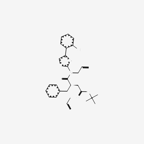 C=CC[C@H](c1ccccc1)[C@H](CC(=O)OC(C)(C)C)C(=O)N(CC=C)c1nc(-c2ccccc2Cl)cs1